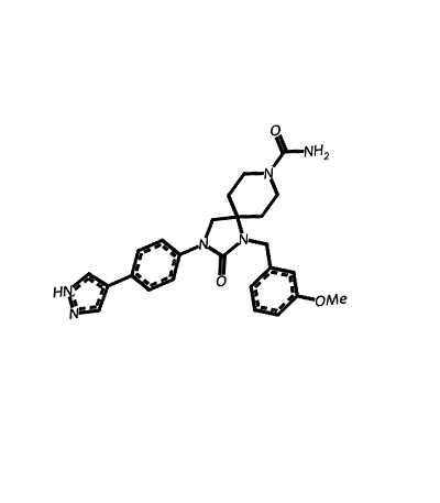 COc1cccc(CN2C(=O)N(c3ccc(-c4cn[nH]c4)cc3)CC23CCN(C(N)=O)CC3)c1